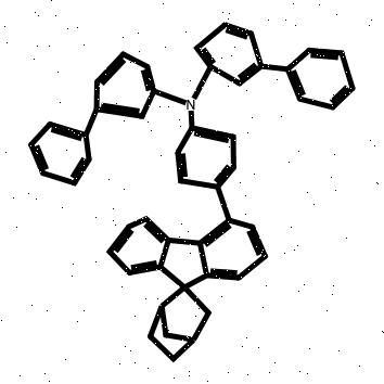 c1ccc(-c2cccc(N(c3ccc(-c4cccc5c4-c4ccccc4C54CC5CCC4C5)cc3)c3cccc(-c4ccccc4)c3)c2)cc1